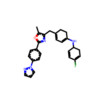 Cc1oc(-c2ccc(-n3cccn3)cc2)nc1CC1=CC=C(NC2C=CC(F)=CC2)CC1